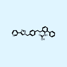 O=C(O)Nc1c(CCc2ccc(Cn3cc(-c4cccnc4)nn3)cc2)cccc1-c1ccccc1